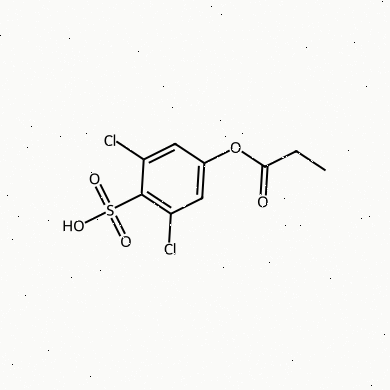 CCC(=O)Oc1cc(Cl)c(S(=O)(=O)O)c(Cl)c1